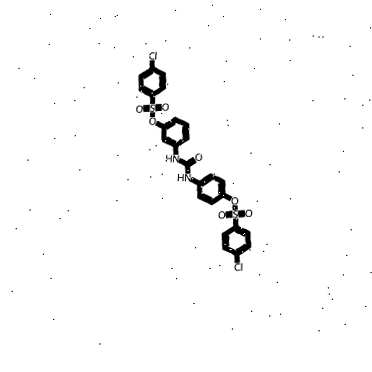 O=C(Nc1ccc(OS(=O)(=O)c2ccc(Cl)cc2)cc1)Nc1cccc(OS(=O)(=O)c2ccc(Cl)cc2)c1